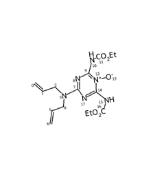 C=CCN(CC=C)c1nc(NC(=O)OCC)[n+]([O-])c(NC(=O)OCC)n1